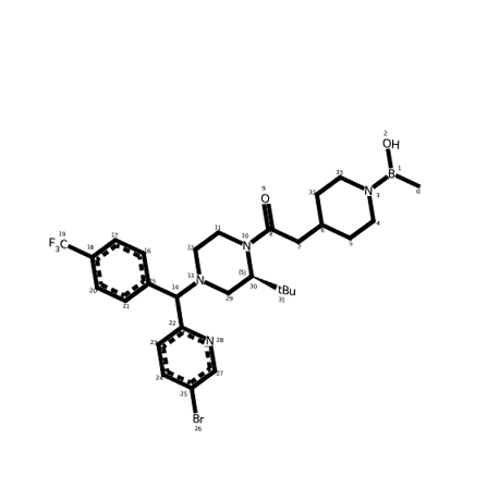 CB(O)N1CCC(CC(=O)N2CCN(C(c3ccc(C(F)(F)F)cc3)c3ccc(Br)cn3)C[C@@H]2C(C)(C)C)CC1